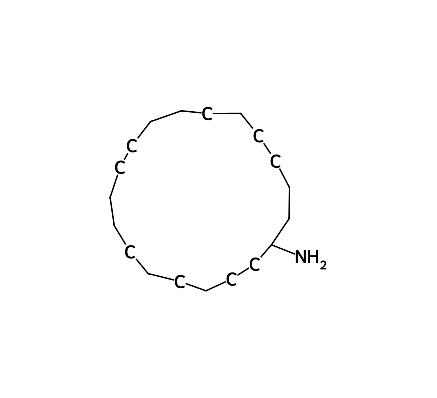 NC1CCCCCCCCCCCCCCCCCC1